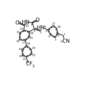 N#CCc1ccc(N/C=C2\C(=O)NC(=O)c3ccc(-c4ccc(C(F)(F)F)cc4)cc32)cc1